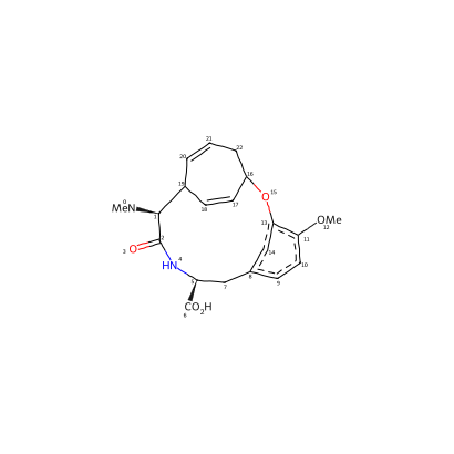 CN[C@@H]1C(=O)N[C@H](C(=O)O)Cc2ccc(OC)c(c2)OC2C=CC1C=CC2